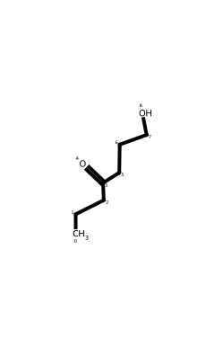 CCCC(=O)[CH]CCO